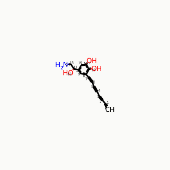 C#CC#CC#CC#Cc1cc(C(O)CN)cc(O)c1O